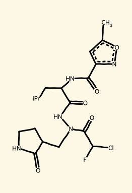 Cc1cc(C(=O)NC(CC(C)C)C(=O)NN(CC2CCNC2=O)C(=O)C(F)Cl)no1